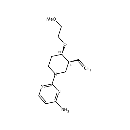 C=C[C@H]1CN(c2nccc(N)n2)CC[C@H]1OCCOC